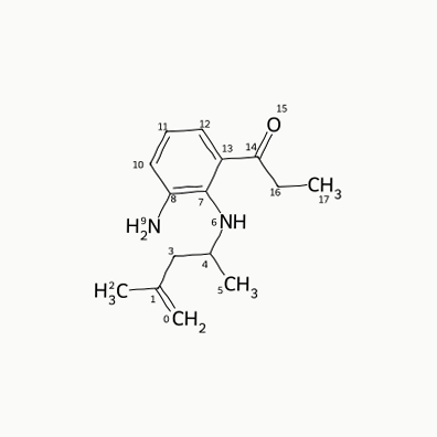 C=C(C)CC(C)Nc1c(N)cccc1C(=O)CC